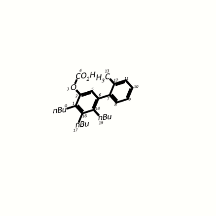 CCCCc1c(OC(=O)O)cc(-c2ccccc2C)c(CCCC)c1CCCC